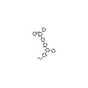 Cc1ccc(-c2cc(-c3ccccc3)cc(-c3ccc(-c4ccc(C5=CC(c6ccccc6)NC(c6ccccc6)=N5)cc4)cn3)n2)nc1